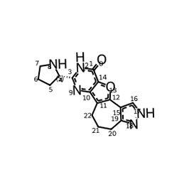 O=c1[nH]c([C@@H]2CCCN2)nc2c3c(oc12)-c1c[nH]nc1CCC3